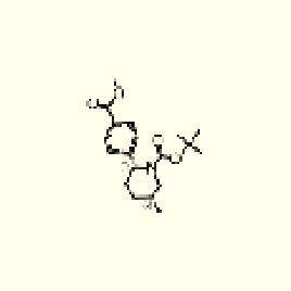 COC(=O)c1ccc([C@H]2CC[C@H](C)CN2C(=O)OC(C)(C)C)cc1